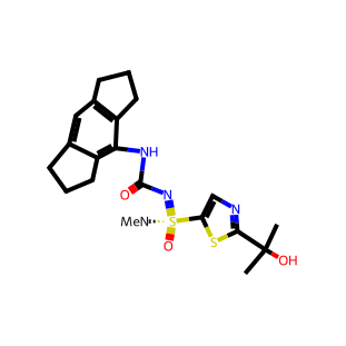 CN[S@](=O)(=NC(=O)Nc1c2c(cc3c1CCC3)CCC2)c1cnc(C(C)(C)O)s1